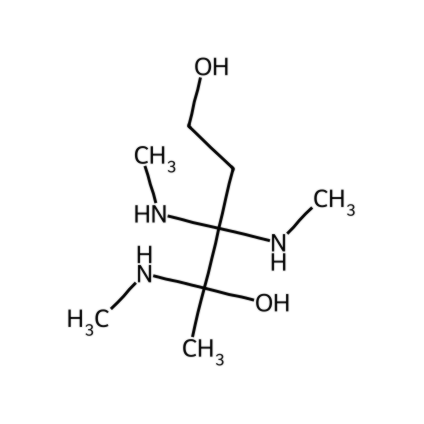 CNC(C)(O)C(CCO)(NC)NC